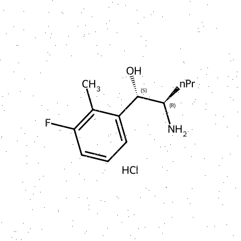 CCC[C@@H](N)[C@@H](O)c1cccc(F)c1C.Cl